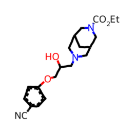 CCOC(=O)N1CC2CC(CN(CC(O)COc3ccc(C#N)cc3)C2)C1